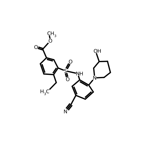 CCc1ccc(C(=O)OC)cc1S(=O)(=O)Nc1cc(C#N)ccc1N1CCCC(O)C1